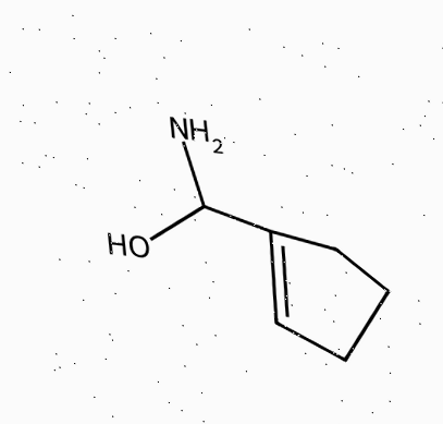 NC(O)C1=CCCC1